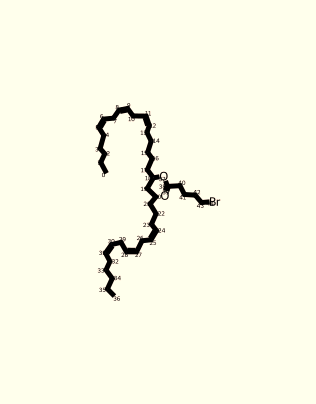 CCCCC/C=C\C/C=C\C/C=C\CCCCCC(CCCCC/C=C\C/C=C\C/C=C\CCCCC)OC(=O)CCCCBr